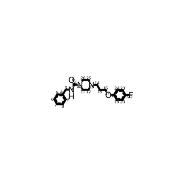 O=C(NCc1ccccc1)N1CCN(CCCOc2ccc(F)cc2)CC1